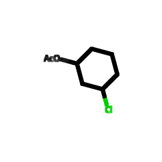 [CH2]C(=O)OC1CCCC(Cl)C1